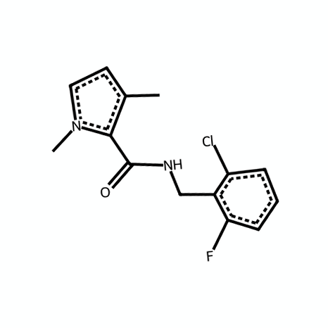 Cc1ccn(C)c1C(=O)NCc1c(F)cccc1Cl